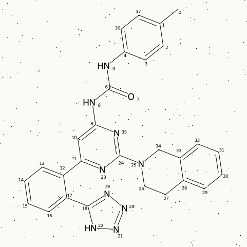 Cc1ccc(NC(=O)Nc2cc(-c3ccccc3-c3nnn[nH]3)nc(N3CCc4ccccc4C3)n2)cc1